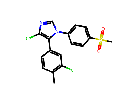 Cc1ccc(-c2c(Cl)ncn2-c2ccc(S(C)(=O)=O)cc2)cc1Cl